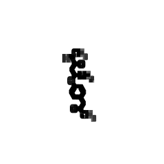 CNC(=O)CC(N)Oc1ccc(CC(C)=O)cc1